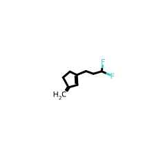 C=C1C=C(CCC(F)F)CC1